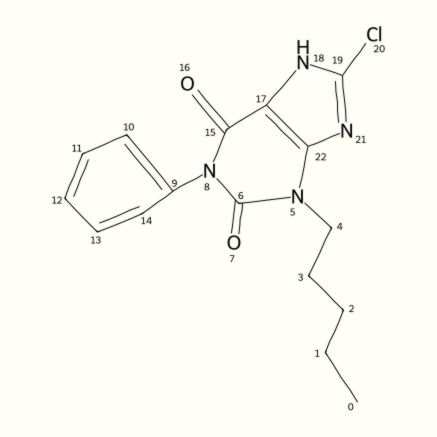 CCCCCn1c(=O)n(-c2ccccc2)c(=O)c2[nH]c(Cl)nc21